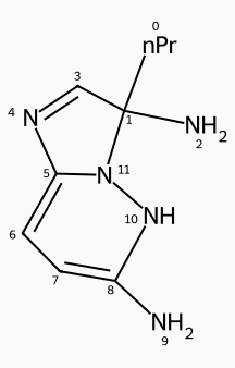 CCCC1(N)C=NC2=CC=C(N)NN21